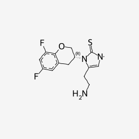 NCCC1=C[N]C(=S)N1[C@H]1COc2c(F)cc(F)cc2C1